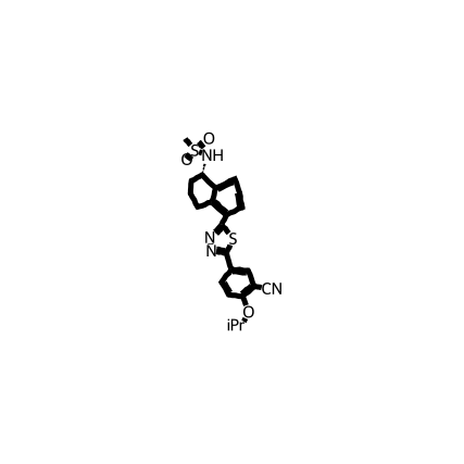 CC(C)Oc1ccc(-c2nnc(-c3cccc4c3CCC[C@@H]4NS(C)(=O)=O)s2)cc1C#N